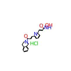 Cl.O=C(C=Cc1cccc(C=CC(=O)N2CCc3ccccc3C2)n1)NO